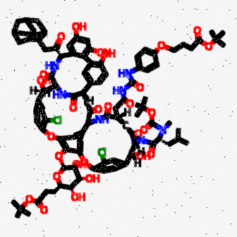 CC(C)C[C@H](C(=O)N[C@H]1C(=O)C[C@@H](CC(=O)NC(=O)Nc2ccc(OCCCC(=O)OC(C)(C)C)cc2)C(=O)NC2C(=O)C[C@H]3C(=O)N[C@H](C(=O)N[C@H](C(=O)CC4C5CC6CC(C5)CC4C6)c4cc(O)cc(O)c4-c4cc3ccc4O)[C@H](O)c3ccc(c(Cl)c3)Oc3cc2cc(c3O[C@@H]2O[C@H](CCC(=O)OC(C)(C)C)[C@@H](O)[C@H](O)[C@H]2O)Oc2ccc(cc2Cl)[C@H]1O)N(C)C(=O)OC(C)(C)C